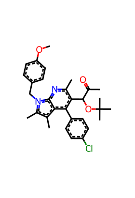 COc1ccc(Cn2c(C)c(C)c3c(-c4ccc(Cl)cc4)c(C(OC(C)(C)C)C(C)=O)c(C)nc32)cc1